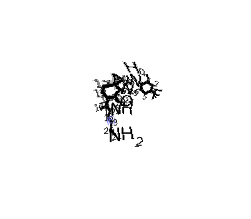 Cc1cc(F)ccc1Nc1nc2ccc3c(C)c(/C=C/CN)[nH]c(=O)c3c2n1C